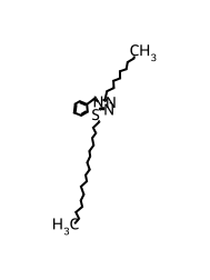 CCCCCCCCCCCCCCCCCCSc1nnc(CCCCCCCCC)n1Cc1ccccc1